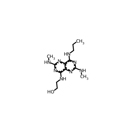 CCCNc1nc(NC)nc2c(NCCO)nc(NC)nc12